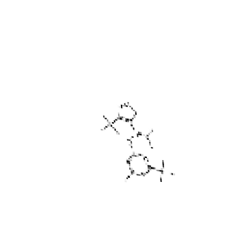 C[C](C)=[Ti]([O]c1cc(C)cc(C(C)(C)C)c1)[C]1=C(C(C)(C)C)C=CC1